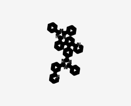 c1ccc(-c2nc(-c3ccc(-c4c(-c5ccccn5)cccc4-c4ccccc4-c4nc(-c5ccccc5)nc(-c5ccccc5)n4)cc3)nc(-c3cccc(-c4ccccn4)c3)n2)cc1